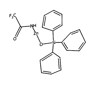 O=C([NH][Zn][O][Si](c1ccccc1)(c1ccccc1)c1ccccc1)C(F)(F)F